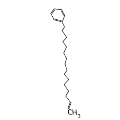 CC=CCCCCCCCCCCCCCCc1ccccc1